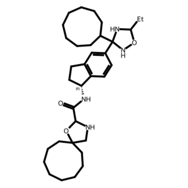 CCC1NC(c2ccc3c(c2)CC[C@H]3NC(=O)C2NCC3(CCCCCCCC3)O2)(C2CCCCCCCC2)NO1